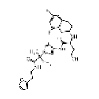 CCC[C@H](N[C@H]1CCc2cc(F)cc(F)c2C1)C(=O)Nc1cn(C(C)(C)C(=O)NCCc2ccco2)cn1